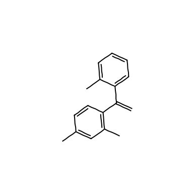 C=C(c1ccccc1C)c1ccc(C)cc1C